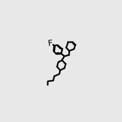 CCCCCC1CCC(C(CC2CC=CCC2)c2ccc(F)cc2)CC1